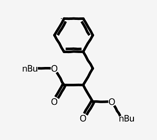 CCCCOC(=O)C(Cc1cc[c]cc1)C(=O)OCCCC